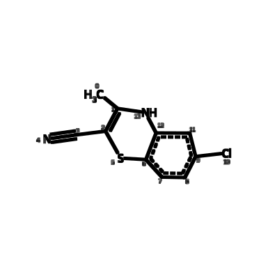 CC1=C(C#N)Sc2ccc(Cl)cc2N1